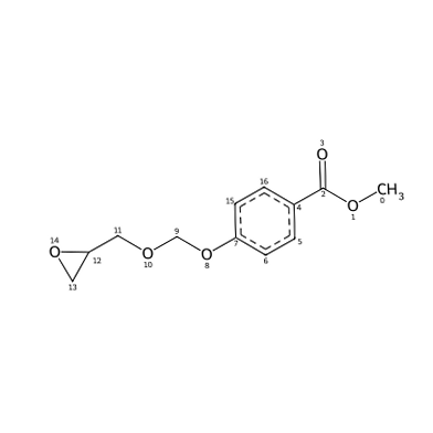 COC(=O)c1ccc(OCOCC2CO2)cc1